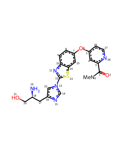 CNC(=O)c1cc(Oc2ccc3nc(-n4cnc(C[C@H](N)CO)c4)sc3c2)ccn1